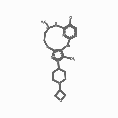 Cc1c2c(nn1C1CCN(C3COC3)CC1)OCC[C@@H](C)Nc1nc(ncc1Cl)N2